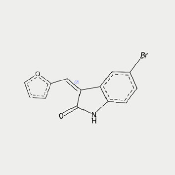 O=C1Nc2ccc(Br)cc2/C1=C/c1ccco1